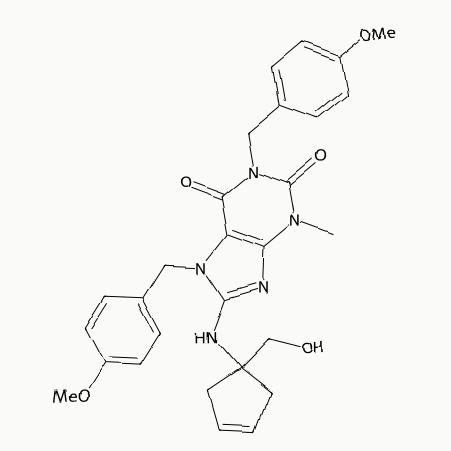 COc1ccc(Cn2c(=O)c3c(nc(NC4(CO)CC=CC4)n3Cc3ccc(OC)cc3)n(C)c2=O)cc1